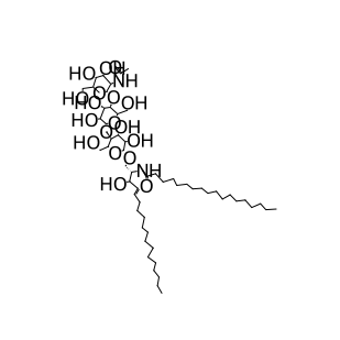 CCCCCCCCCCCCC/C=C/[C@@H](O)[C@H](CO[C@@H]1OC(CO)[C@@H](O[C@@H]2OC(CO)[C@H](O[C@@H]3OC(CO)[C@H](O)[C@H](O)C3NC(C)=O)[C@H](O)C2O)[C@H](O)C1O)NC(=O)CCCCCCCCCCCCCCCCC